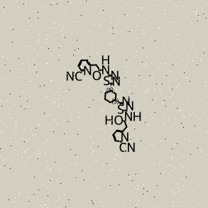 N#Cc1cccc(CC(=O)Nc2nnc([C@H]3CCC[C@H](c4nnc(NC(O)Cc5cccc(C#N)n5)s4)C3)s2)n1